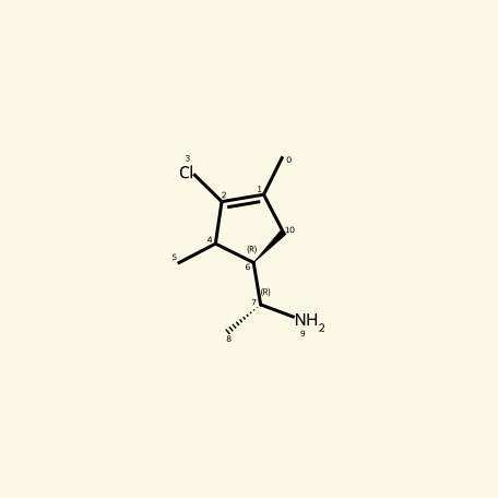 CC1=C(Cl)C(C)[C@H]([C@@H](C)N)C1